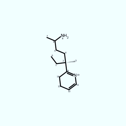 CC[C@@](C)(CCC(C)N)C1=NC=CCC1